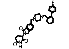 O=C1CCC(N2Cc3ccc(CN4CCN(CC5=C(c6ccc(F)cc6)CCCC5)CC4)cc3C2=O)C(=O)N1